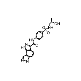 CC(O)CNS(=O)(=O)c1ccc(NC(=O)c2n[nH]c3c4c(ccc23)[N]N=C4)cc1